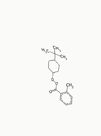 Cc1ccccc1C(=O)OO[C]1CCC(C(C)(C)C)CC1